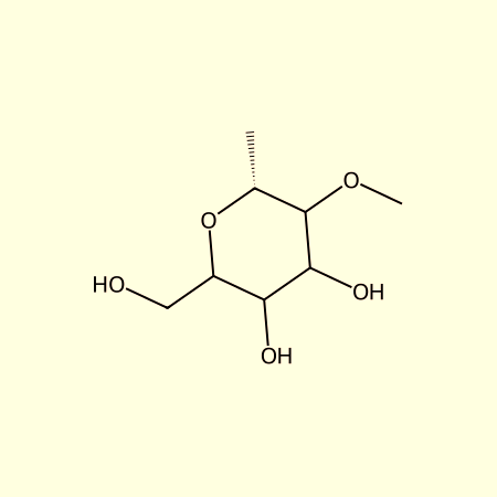 COC1C(O)C(O)C(CO)O[C@@H]1C